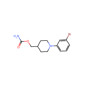 NC(=O)OCC1CCN(c2cccc(Br)c2)CC1